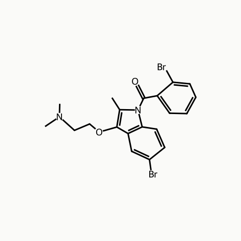 Cc1c(OCCN(C)C)c2cc(Br)ccc2n1C(=O)c1ccccc1Br